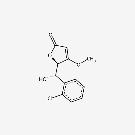 COC1=CC(=O)O[C@@H]1[C@@H](O)c1ccccc1Cl